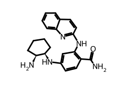 NC(=O)c1ccc(N[C@@H]2CCCC[C@@H]2N)cc1Nc1ccc2ccccc2n1